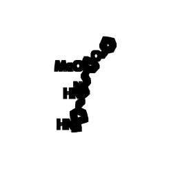 COc1cc(OCc2ccccc2)ccc1/C=C/c1cc(/C=C/c2ccc3cc[nH]c3c2)[nH]n1